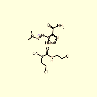 CN(C)/N=N/c1[nH]cnc1C(N)=O.O=NN(CCCl)C(=O)NCCCl